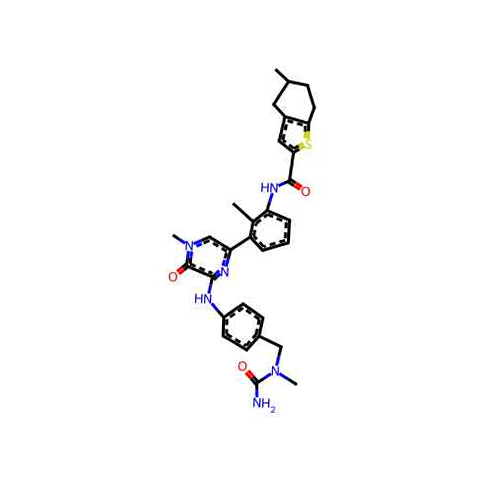 Cc1c(NC(=O)c2cc3c(s2)CCC(C)C3)cccc1-c1cn(C)c(=O)c(Nc2ccc(CN(C)C(N)=O)cc2)n1